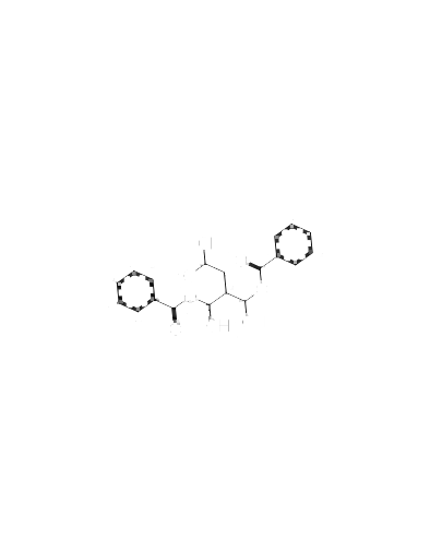 CC(C)CC(C(C)OC(=O)c1ccccc1)C(C)OC(=O)c1ccccc1